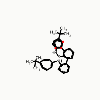 CC(C)(C)C1=C=CC=C(Nc2ccccc2-c2cccc(C3C=CC=C3)c2SNc2ccc(C(C)(C)C)cc2)C=C1